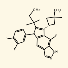 COCC(C)(C)c1c([C@H]2C[C@](C)(C(=O)O)C2)c2c(F)c3[nH]ncc3cc2n1-c1ccc(F)c(F)c1